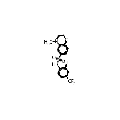 CN1CCOc2ccc(S(=O)(=O)Nc3ccc(C(F)(F)F)cc3I)cc21